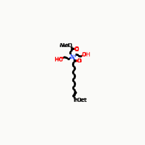 CCCCCCCCC=CCCCCCCCC(=O)[N+](CCO)(CCO)CC(=O)OC